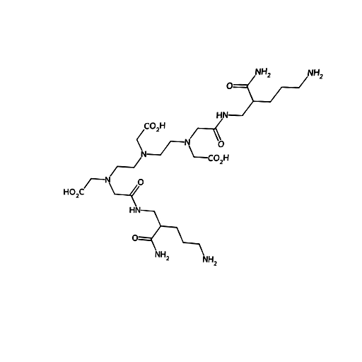 NCCCC(CNC(=O)CN(CCN(CCN(CC(=O)O)CC(=O)NCC(CCCN)C(N)=O)CC(=O)O)CC(=O)O)C(N)=O